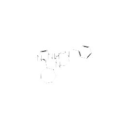 c1ccc(CN2CCN(C3CCCCCC3c3ncc[nH]3)CC2)cc1